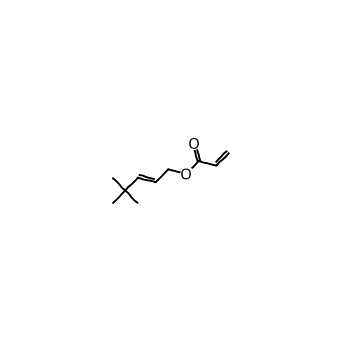 C=CC(=O)OCC=CC(C)(C)C